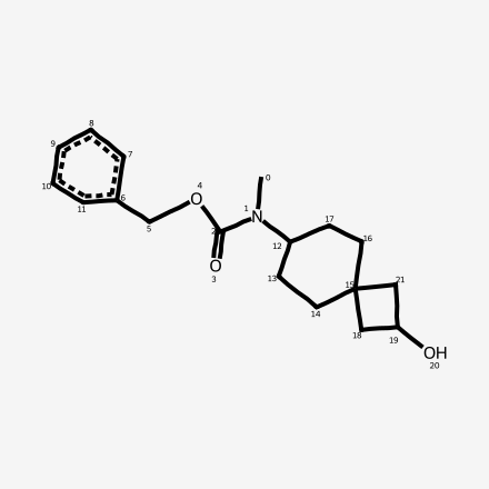 CN(C(=O)OCc1ccccc1)C1CCC2(CC1)CC(O)C2